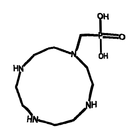 O=P(O)(O)CN1CCNCCNCCNCC1